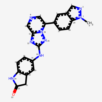 Cn1ncc2cc(-c3cncc4nc(Nc5ccc6c(c5)CC(=O)N6)nn34)ccc21